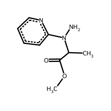 COC(=O)C(C)N(N)c1ccccn1